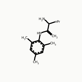 C=C(Nc1c(C)cc(C)cc1C)C(N)CCC